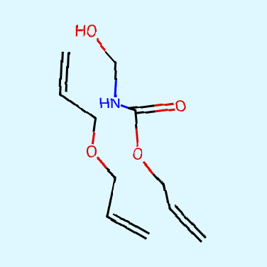 C=CCOC(=O)NCO.C=CCOCC=C